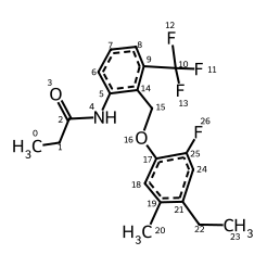 CCC(=O)Nc1cccc(C(F)(F)F)c1COc1cc(C)c(CC)cc1F